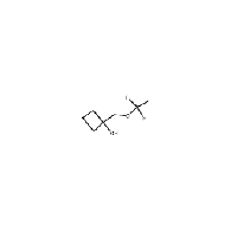 CC(F)(F)OCC1(O)CCC1